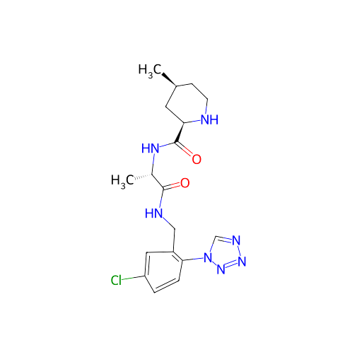 C[C@H]1CCN[C@@H](C(=O)N[C@@H](C)C(=O)NCc2cc(Cl)ccc2-n2cnnn2)C1